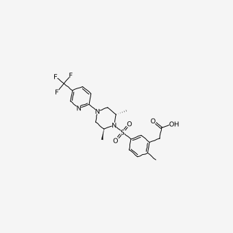 Cc1ccc(S(=O)(=O)N2[C@@H](C)CN(c3ccc(C(F)(F)F)cn3)C[C@@H]2C)cc1CC(=O)O